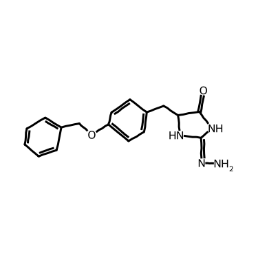 N/N=C1\NC(=O)C(Cc2ccc(OCc3ccccc3)cc2)N1